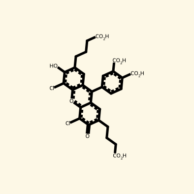 O=C(O)CCCc1cc2c(-c3ccc(C(=O)O)c(C(=O)O)c3)c3cc(CCCC(=O)O)c(=O)c(Cl)c-3oc2c(Cl)c1O